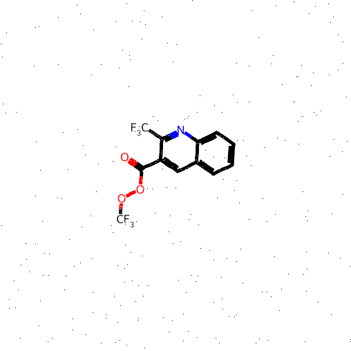 O=C(OOC(F)(F)F)c1cc2ccccc2nc1C(F)(F)F